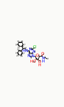 CCNC(=O)C1OC(n2cnc3c(NCC(c4ccccc4)c4ccccc4)nc(Cl)nc32)C(O)C1O